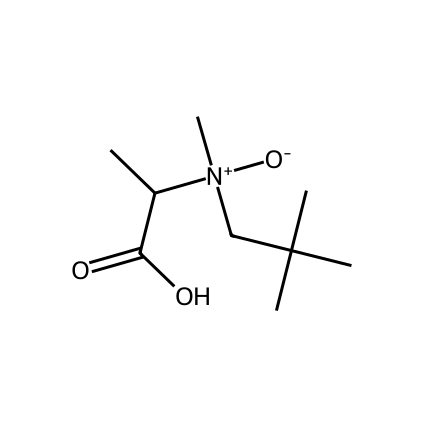 CC(C(=O)O)[N+](C)([O-])CC(C)(C)C